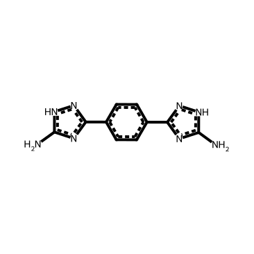 Nc1nc(-c2ccc(-c3n[nH]c(N)n3)cc2)n[nH]1